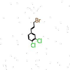 Clc1ccc(C=CCBr)cc1Cl